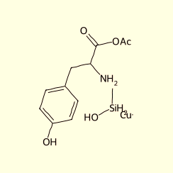 CC(=O)OC(=O)C(N)Cc1ccc(O)cc1.C[SiH2]O.[Cu]